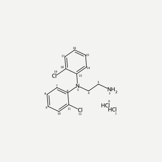 Cl.Cl.NCCN(c1ccccc1Cl)c1ccccc1Cl